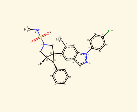 CNS(=O)(=O)N1C[C@H]2[C@H](c3ccccc3)[C@@]2(c2cc3cnn(-c4ccc(F)cc4)c3cc2C)C1